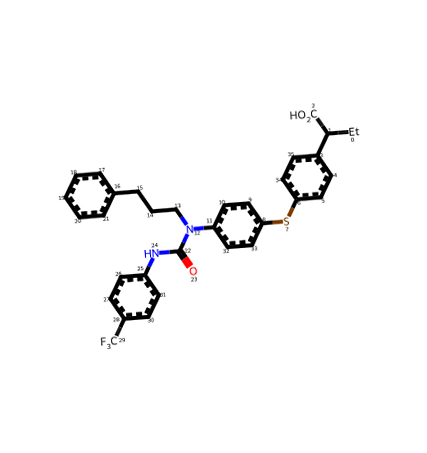 CCC(C(=O)O)c1ccc(Sc2ccc(N(CCCc3ccccc3)C(=O)Nc3ccc(C(F)(F)F)cc3)cc2)cc1